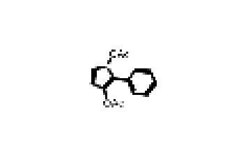 CC(=O)OC1=C(c2ccccc2)I(OC(C)=O)C=C1